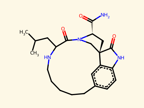 CC(C)CC1NCCCCCc2ccc3c(c2)[C@@]2(C[C@@H](C(N)=O)N(C2)C1=O)C(=O)N3